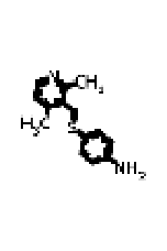 Cc1ccnc(C)c1CSc1ccc(N)cc1